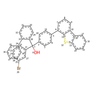 OC(c1ccc(-c2cccc3c2sc2ccccc23)cc1)(c1cccc(Br)c1)c1ccccc1-c1ccccc1